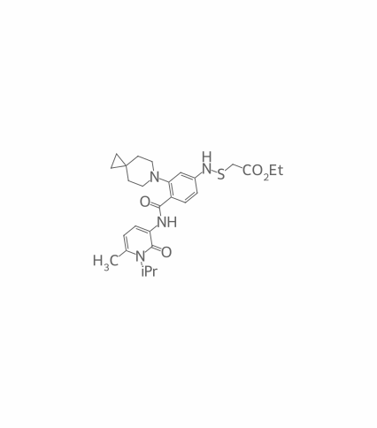 CCOC(=O)CSNc1ccc(C(=O)Nc2ccc(C)n(C(C)C)c2=O)c(N2CCC3(CC2)CC3)c1